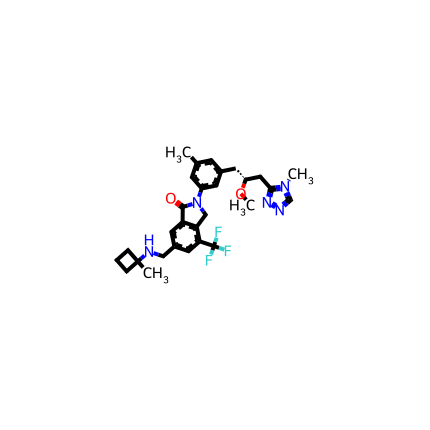 CO[C@H](Cc1cc(C)cc(N2Cc3c(cc(CNC4(C)CCC4)cc3C(F)(F)F)C2=O)c1)Cc1nncn1C